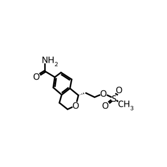 CS(=O)(=O)OCC[C@@H]1OCCc2cc(C(N)=O)ccc21